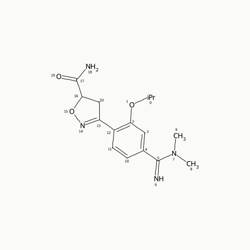 CC(C)Oc1cc(C(=N)N(C)C)ccc1C1=NOC(C(N)=O)C1